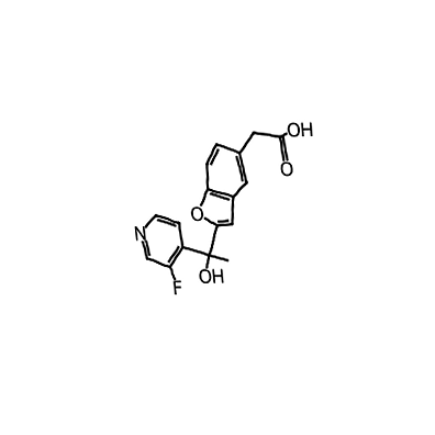 CC(O)(c1cc2cc(CC(=O)O)ccc2o1)c1ccncc1F